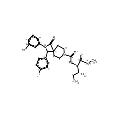 CC[C@@H](C)[C@@H](NC(=O)N1CCC2(CC1)C(=O)N(c1cccc(F)c1)C2c1ccc(Cl)cc1)C(=O)NC